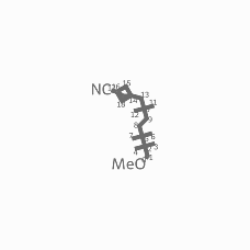 COCC(C)(C)C(C)(C)CCC(C)(C)CC12CC(C#N)(C1)C2